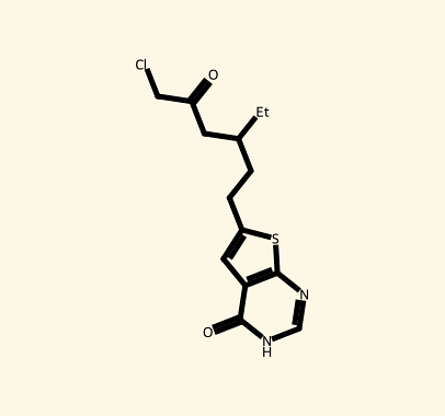 CCC(CCc1cc2c(=O)[nH]cnc2s1)CC(=O)CCl